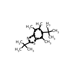 Cc1c(C(C)(C)C)c(C)c2sc(C(C)(C)C)nc2c1C